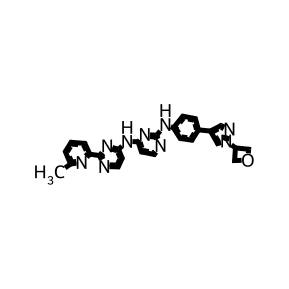 Cc1cccc(-c2nccc(Nc3ccnc(Nc4ccc(-c5cnn(C6COC6)c5)cc4)n3)n2)n1